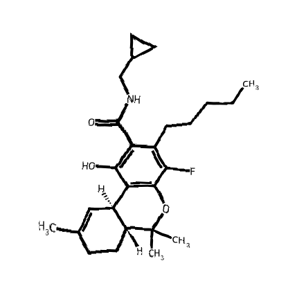 CCCCCc1c(F)c2c(c(O)c1C(=O)NCC1CC1)[C@@H]1C=C(C)CC[C@H]1C(C)(C)O2